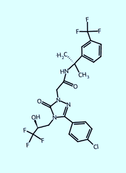 [CH2][C@](C)(NC(=O)Cn1nc(-c2ccc(Cl)cc2)n(C[C@H](O)C(F)(F)F)c1=O)c1cccc(C(F)(F)F)c1